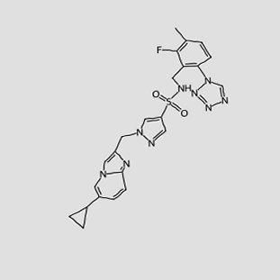 Cc1ccc(-n2cnnn2)c(CNS(=O)(=O)c2cnn(Cc3cn4cc(C5CC5)ccc4n3)c2)c1F